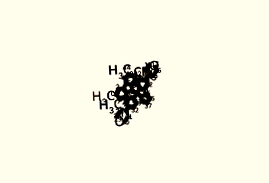 Cc1cc2c(cc1C)C(C(c1ccc(N3CCOCC3)cc1)(c1ccc(N3CCOCC3)cc1)C1C=CC=C1)c1cc(C)c(C)cc1-2